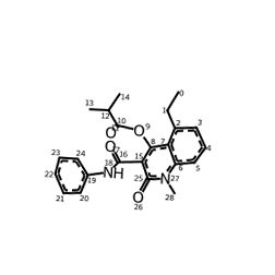 CCc1cccc2c1c(OC(=O)C(C)C)c(C(=O)Nc1ccccc1)c(=O)n2C